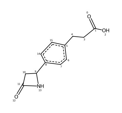 O=C(O)CCc1ccc(C2CC(=O)N2)cc1